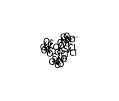 O=[N+]([O-])C(F)(COC(OCC(F)([N+](=O)[O-])[N+](=O)[O-])(OCC(F)([N+](=O)[O-])[N+](=O)[O-])SSC(Cl)(Cl)Cl)[N+](=O)[O-]